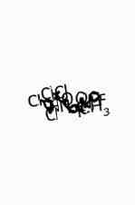 CN(C(=O)c1cc(NC(=O)[C@@H]2[C@@H](c3cc(Cl)cc(Cl)c3)C2(Cl)Cl)ccc1F)c1cccc(F)c1